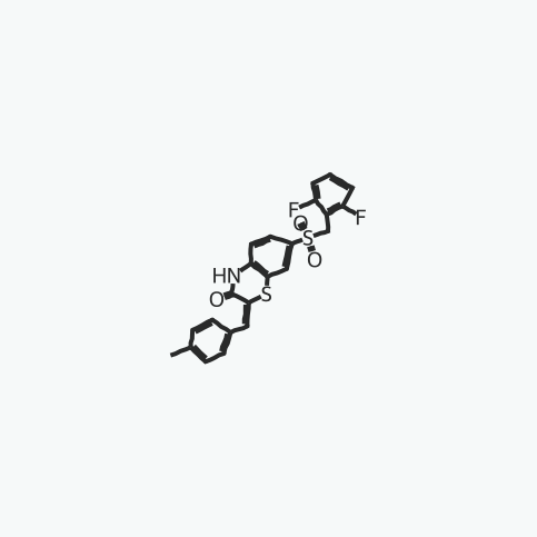 Cc1ccc(/C=C2/Sc3cc(S(=O)(=O)Cc4c(F)cccc4F)ccc3NC2=O)cc1